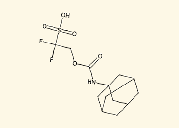 O=C(NC12CC3CC(CC(C3)C1)C2)OCC(F)(F)S(=O)(=O)O